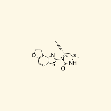 CC#C[C@@H]1C[C@H](C)NC(=O)N1c1nc2c3c(ccc2s1)OCC3